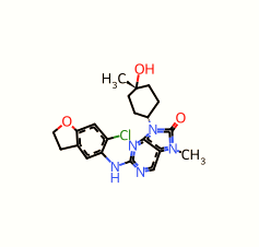 Cn1c(=O)n([C@H]2CC[C@@](C)(O)CC2)c2nc(Nc3cc4c(cc3Cl)OCC4)ncc21